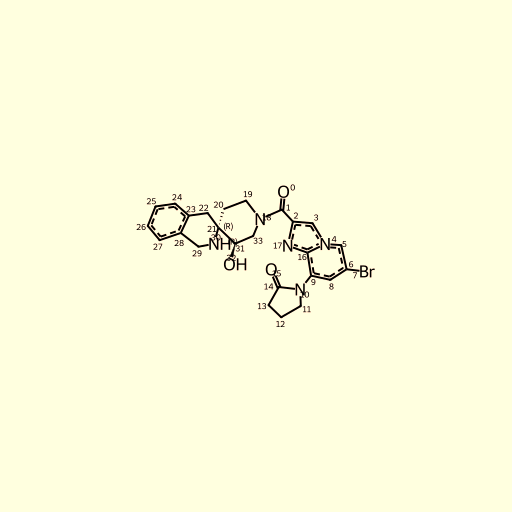 O=C(c1cn2cc(Br)cc(N3CCCC3=O)c2n1)N1CC[C@]2(Cc3ccccc3CN2)[C@H](O)C1